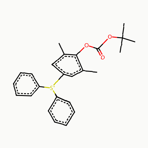 Cc1cc([S+](c2ccccc2)c2ccccc2)cc(C)c1OC(=O)OC(C)(C)C